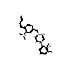 C=C/C=C\c1ccc(CN2CCN(c3cccc(C)c3Cl)CC2)cc1N(C)C